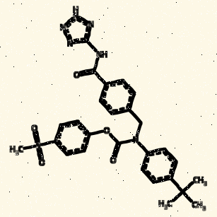 CC(C)(C)c1ccc(N(Cc2ccc(C(=O)Nc3nn[nH]n3)cc2)C(=O)Oc2ccc(S(C)(=O)=O)cc2)cc1